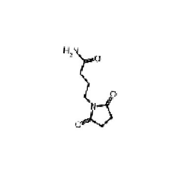 NC(=O)CCCN1C(=O)CCC1=O